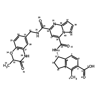 Cc1c(C(=O)O)ccc2c1CC[C@@H]2NC(=O)c1cc(C(=O)NCc2ccc3c(c2)NC(=O)C(C)O3)nc2ccnn12